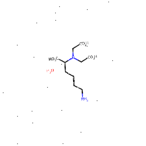 NCCCCC(C(=O)O)N(CC(=O)O)CC(=O)O.O